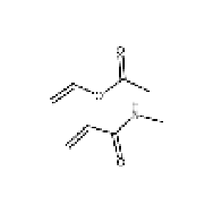 C=CC(=O)NC.C=COC(C)=O